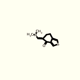 CN(C)/C=C1\CCc2cscc2C1=O